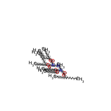 CCCCCCCCCCC(CCCCCCCC)COC(=O)CCN(CCCN(C)CCCN(CCC(=O)OCC(CCCCCCCC)CCCCCCCCCC)CCC(=O)OCC(CCCCCCCC)CCCCCCCCCC)CCC(=O)OCC(CCCCCCCC)CCCCCCCCCC